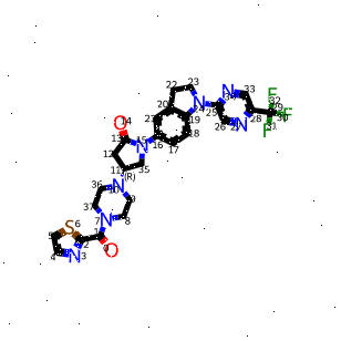 O=C(c1nccs1)N1CCN([C@@H]2CC(=O)N(c3ccc4c(c3)CCN4c3cnc(C(F)(F)F)cn3)C2)CC1